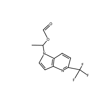 CC(OC=O)n1ccc2nc(C(F)(F)F)ccc21